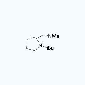 CCC(C)N1CCCCC1CNC